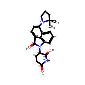 CC1(C)CCCN1c1ccc2c3c(cccc13)N(C1CCC(=O)NC1=O)C2=O